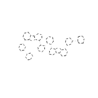 c1ccc(-c2cccc(-c3cccc4c3sc3c(-c5ccccc5-c5ccccc5-c5cccc6c5sc5c(-c7cccc(-c8ccccc8)c7)cccc56)cccc34)c2)cc1